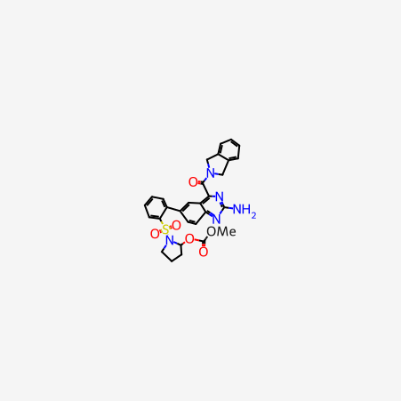 COC(=O)OC1CCCN1S(=O)(=O)c1ccccc1-c1ccc2nc(N)nc(C(=O)N3Cc4ccccc4C3)c2c1